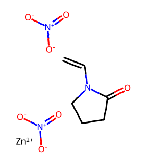 C=CN1CCCC1=O.O=[N+]([O-])[O-].O=[N+]([O-])[O-].[Zn+2]